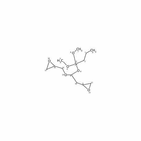 CCC[Si](OC)(OC)OC(CC1CO1)OCC1CO1